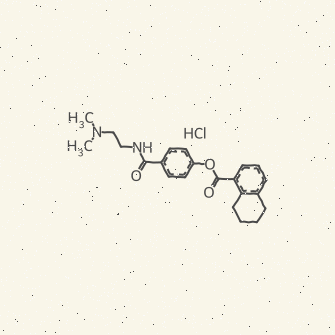 CN(C)CCNC(=O)c1ccc(OC(=O)c2cccc3c2CCCC3)cc1.Cl